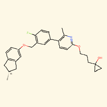 Cc1nc(OCCCC2(O)CC2)ccc1-c1ccc(F)c(COc2ccc3c(c2)C[C@H](C)C3)c1